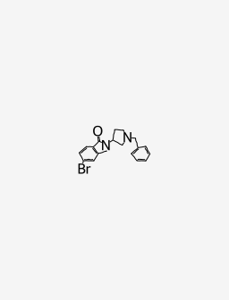 O=C1c2ccc(Br)cc2CN1C1CCN(Cc2ccccc2)C1